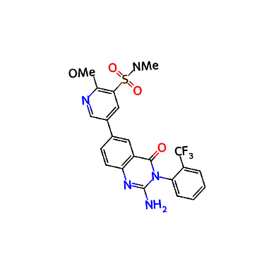 CNS(=O)(=O)c1cc(-c2ccc3nc(N)n(-c4ccccc4C(F)(F)F)c(=O)c3c2)cnc1OC